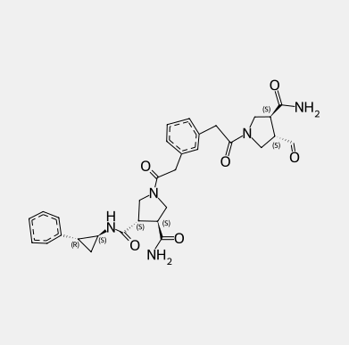 NC(=O)[C@@H]1CN(C(=O)Cc2cccc(CC(=O)N3C[C@@H](C(N)=O)[C@H](C(=O)N[C@H]4C[C@@H]4c4ccccc4)C3)c2)C[C@H]1C=O